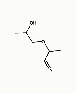 CC(O)COC(C)C=N